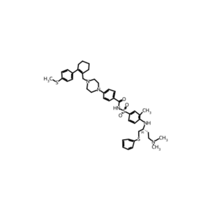 CSc1ccc(C2=C(CN3CCN(c4ccc(C(=O)NS(=O)(=O)c5ccc(N[C@H](CCN(C)C)CSc6ccccc6)c(C)c5)cc4)CC3)CCCC2)cc1